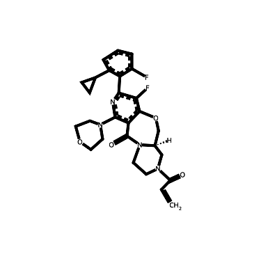 C=CC(=O)N1CCN2C(=O)c3c(N4CCOCC4)nc(-c4c(F)cccc4C4CC4)c(F)c3OC[C@H]2C1